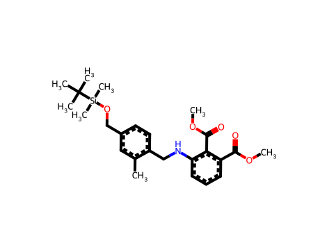 COC(=O)c1cccc(NCc2ccc(CO[Si](C)(C)C(C)(C)C)cc2C)c1C(=O)OC